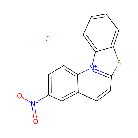 O=[N+]([O-])c1ccc2c(ccc3sc4ccccc4[n+]32)c1.[Cl-]